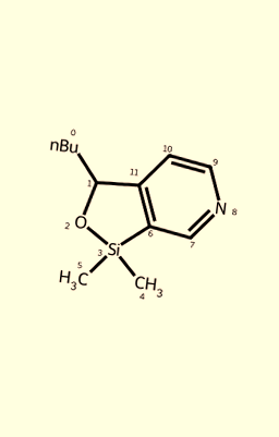 CCCCC1O[Si](C)(C)c2cnccc21